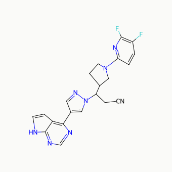 N#CCC(C1CCN(c2ccc(F)c(F)n2)C1)n1cc(-c2ncnc3[nH]ccc23)cn1